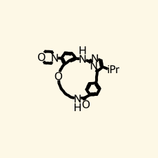 CC(C)c1cnc2nc1-c1ccc(cc1)C(=O)NCCCCOCc1cc(ccc1N1CCOCC1)N2